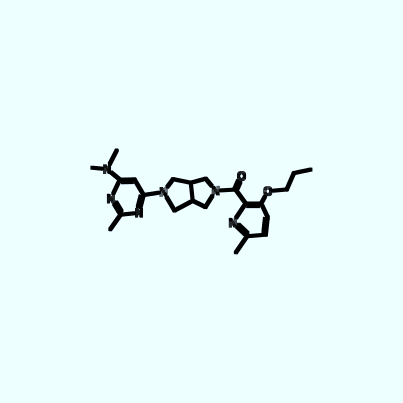 CCCOc1ccc(C)nc1C(=O)N1CC2CN(c3cc(N(C)C)nc(C)n3)CC2C1